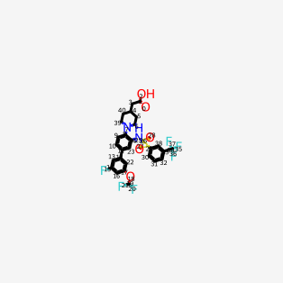 O=C(O)CC1CCN(c2ccc(-c3cc(F)cc(OC(F)F)c3)cc2NS(=O)(=O)c2cccc(C(F)(F)F)c2)CC1